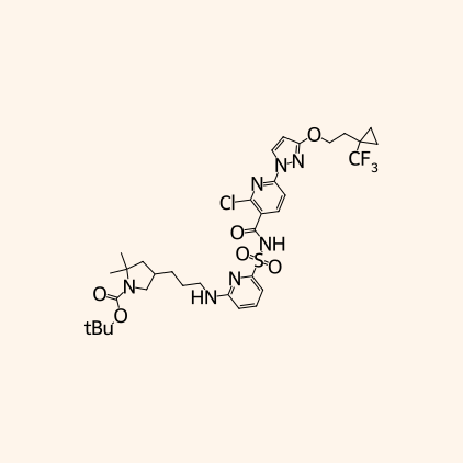 CC(C)(C)OC(=O)N1CC(CCCNc2cccc(S(=O)(=O)NC(=O)c3ccc(-n4ccc(OCCC5(C(F)(F)F)CC5)n4)nc3Cl)n2)CC1(C)C